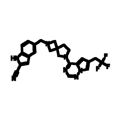 N#Cc1cc2cc(CN3CC4(CCN(c5ncnn6cc(CC(F)(F)F)cc56)C4)C3)ccc2[nH]1